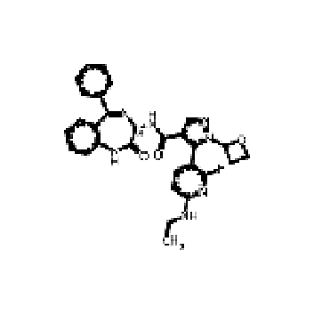 CCNc1ccc(-c2c(C(=O)N[C@H]3N=C(c4ccccc4)c4ccccc4NC3=O)cnn2C2CCO2)c(F)n1